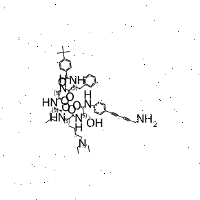 CCN(CC)CCCC[C@H](NC(=O)[C@H](CC(C)C)NC(=O)[C@H](C)NC(=O)[C@H](Cc1ccccc1)NC(=O)c1ccc(C(C)(C)C)cc1)C(=O)N[C@@H](CO)C(=O)Nc1ccc(C#CC#CCN)cc1